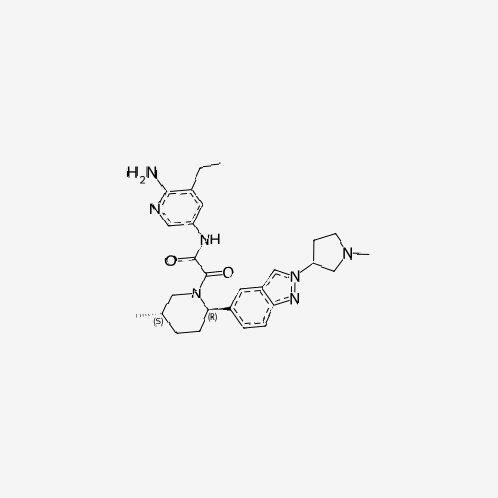 CCc1cc(NC(=O)C(=O)N2C[C@@H](C)CC[C@@H]2c2ccc3nn(C4CCN(C)C4)cc3c2)cnc1N